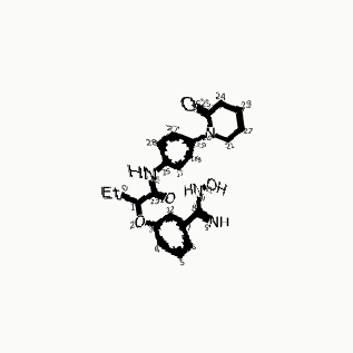 CCC(Oc1cccc(C(=N)NO)c1)C(=O)Nc1ccc(N2CCCCC2=O)cc1